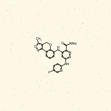 CNC(=O)c1nnc(Nc2ccc(F)cn2)cc1Nc1cccc2c1OCc1c-2noc1C